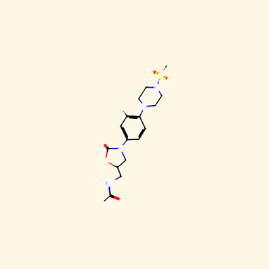 CC(=O)[N@@H+]([O-])CC1CN(c2ccc(N3CCN(S(C)(=O)=O)CC3)c(F)c2)C(=O)O1